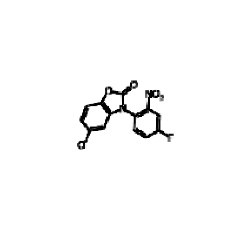 O=c1oc2ccc(Cl)cc2n1-c1ccc(F)cc1[N+](=O)[O-]